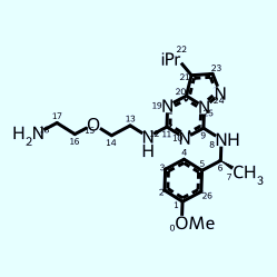 COc1cccc([C@H](C)Nc2nc(NCCOCCN)nc3c(C(C)C)cnn23)c1